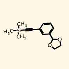 C[Si](C)(C)C#Cc1cccc(C2OCCO2)c1